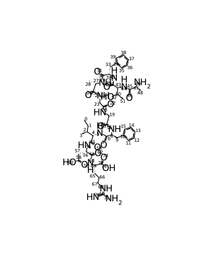 CC[C@H](C)[C@H](NC(=O)[C@H](Cc1ccccc1)NC(=O)CNC(=O)CNC(=O)[C@H](C)NC(=O)[C@H](Cc1ccccc1)NC(=O)[C@@H](NC(=O)[C@H](C)N)[C@@H](C)O)C(=O)N[C@@H](CC(=O)O)C(=O)N[C@@H](CCCNC(=N)N)C(=O)O